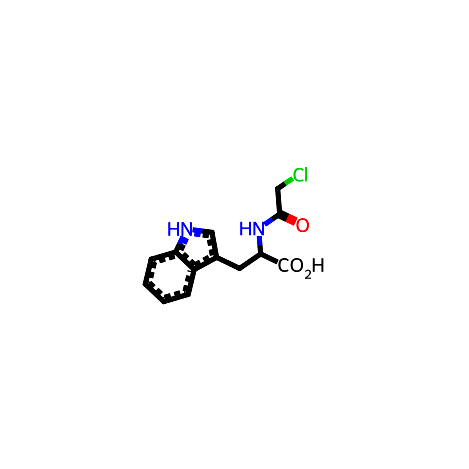 O=C(CCl)NC(Cc1c[nH]c2ccccc12)C(=O)O